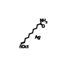 CCCCCCCCC=CCCCCCCCC(N)=O.[Ag]